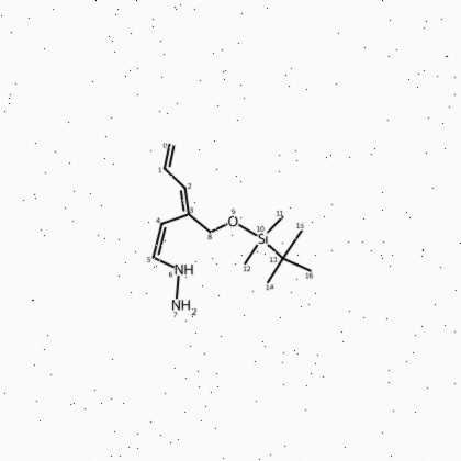 C=C/C=C(\C=C/NN)CO[Si](C)(C)C(C)(C)C